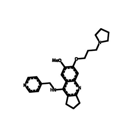 COc1cc2c(NCc3ccncc3)c3c(nc2cc1OCCCN1CCCC1)CCC3